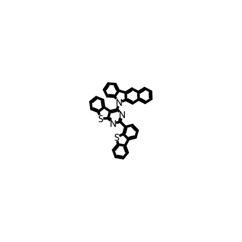 c1ccc2cc3c(cc2c1)c1ccccc1n3-c1nc(-c2cccc3c2sc2ccccc23)nc2sc3ccccc3c12